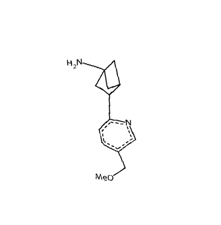 COCc1ccc(C2CC3(N)CC2C3)nc1